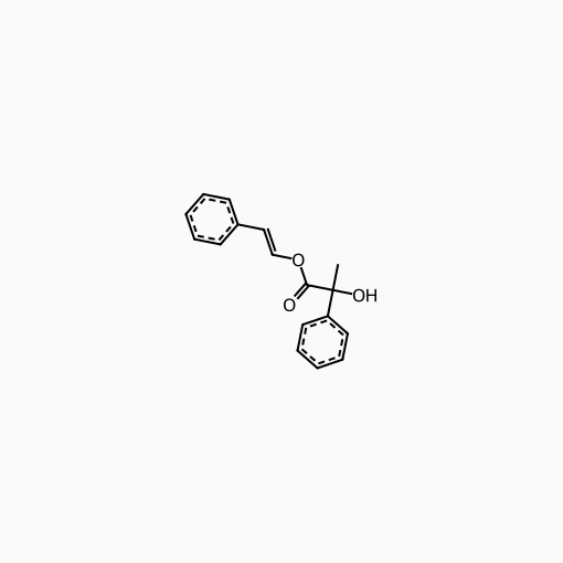 CC(O)(C(=O)OC=Cc1ccccc1)c1ccccc1